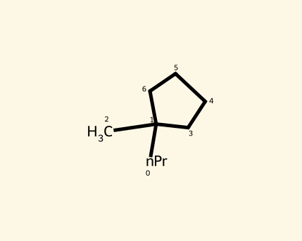 CCCC1(C)CCCC1